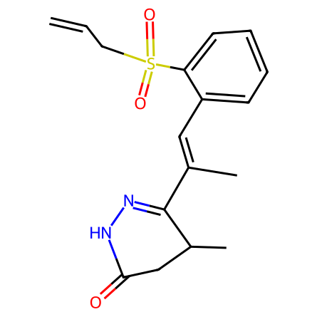 C=CCS(=O)(=O)c1ccccc1C=C(C)C1=NNC(=O)CC1C